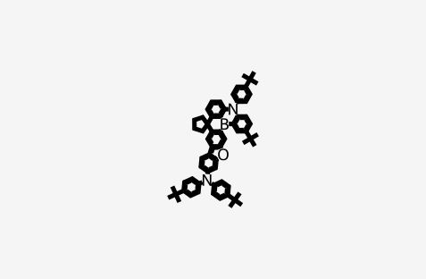 CC(C)(C)c1ccc(N(c2ccc(C(C)(C)C)cc2)c2ccc3c(c2)oc2cc4c(cc23)C2(CCCC2)c2cccc3c2B4c2cc(C(C)(C)C)ccc2N3c2ccc(C(C)(C)C)cc2)cc1